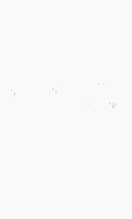 NC(=O)O[C@H]1CCN(c2c(C=O)cnc(Cl)c2-c2cc(F)cc(F)c2)C1